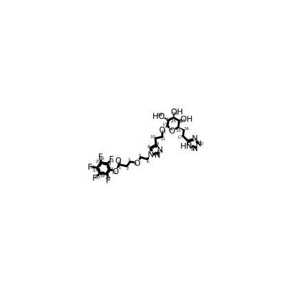 O=C(CCOCCn1cc(CCO[C@H]2O[C@H](CCc3nnn[nH]3)[C@@H](O)[C@H](O)[C@@H]2O)nn1)Oc1c(F)c(F)c(F)c(F)c1F